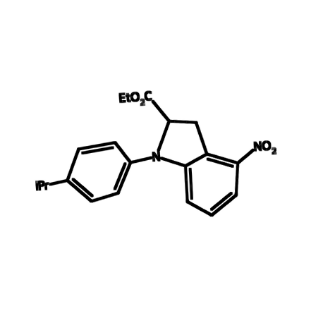 CCOC(=O)C1Cc2c(cccc2[N+](=O)[O-])N1c1ccc(C(C)C)cc1